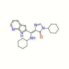 O=C1/C(=C(\NC2CCCCC2)c2cc3cccnc3[nH]2)N=CN1C1CCCCC1